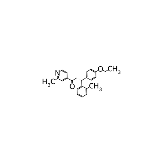 CCOc1ccc([C@@H](CC(=O)c2ccnc(C)c2)c2ccccc2C)cc1